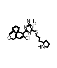 Nc1nc(SCCCC2CCCN2)nc(C2C(Cl)=CC3=c4c2cccc4=COC3)n1